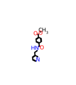 COC(=O)c1ccc(C(=O)NCCc2cccnc2)cc1